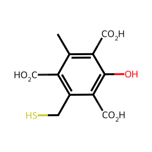 Cc1c(C(=O)O)c(O)c(C(=O)O)c(CS)c1C(=O)O